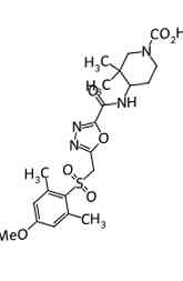 COc1cc(C)c(S(=O)(=O)Cc2nnc(C(=O)NC3CCN(C(=O)O)CC3(C)C)o2)c(C)c1